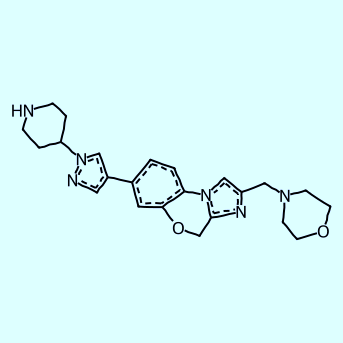 c1cc2c(cc1-c1cnn(C3CCNCC3)c1)OCc1nc(CN3CCOCC3)cn1-2